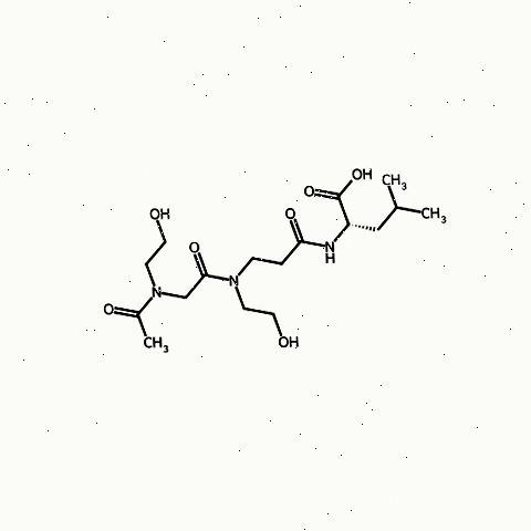 CC(=O)N(CCO)CC(=O)N(CCO)CCC(=O)N[C@@H](CC(C)C)C(=O)O